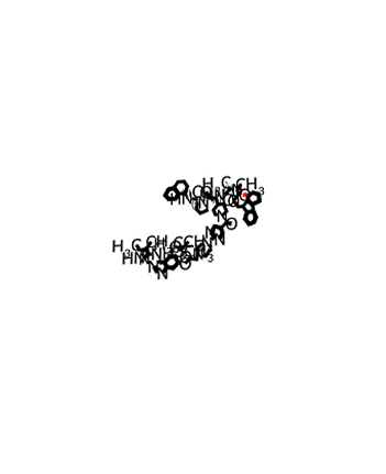 Cc1[nH]nc(Nc2ncnc3cc(OCCN4CCN(c5ncc(C(=O)N6CCC([C@H](NC(=O)[C@H](C)N(C)C(=O)OCC7c8ccccc8-c8ccccc87)C(=O)N7CCC[C@H]7C(=O)N[C@@H]7CCCc8ccccc87)CC6)cn5)CC4)c(S(=O)(=O)C(C)(C)C)cc23)c1C